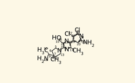 Cc1nc(N2CCC(C)(C(C)N)CC2)c(CO)nc1-c1cc(N)nc(Cl)c1Cl